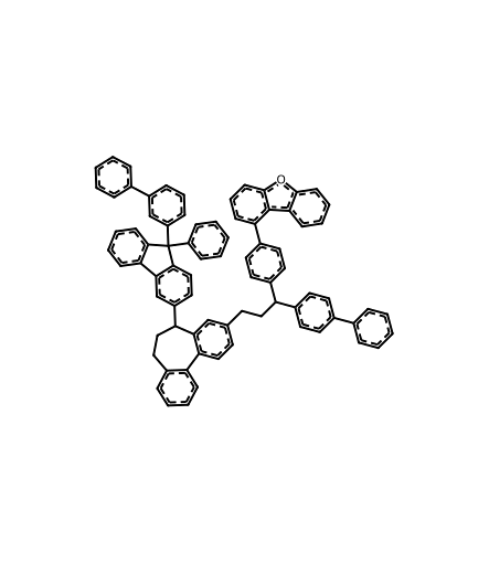 c1ccc(-c2ccc(C(CCc3ccc4c(c3)C(c3ccc5c(c3)-c3ccccc3C5(c3ccccc3)c3cccc(-c5ccccc5)c3)CCc3ccccc3-4)c3ccc(-c4cccc5oc6ccccc6c45)cc3)cc2)cc1